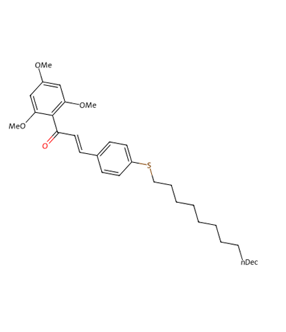 CCCCCCCCCCCCCCCCCCSc1ccc(/C=C/C(=O)c2c(OC)cc(OC)cc2OC)cc1